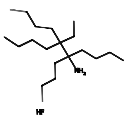 CCCCC(N)(CCCC)C(CC)(CCCC)CCCC.F